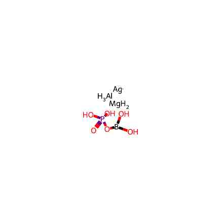 O=P(O)(O)OB(O)O.[Ag].[AlH3].[MgH2]